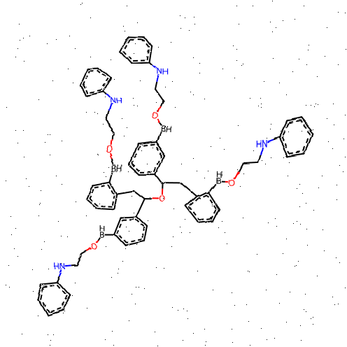 B(OCCNc1ccccc1)c1cccc(C(Cc2ccccc2BOCCNc2ccccc2)OC(Cc2ccccc2BOCCNc2ccccc2)c2cccc(BOCCNc3ccccc3)c2)c1